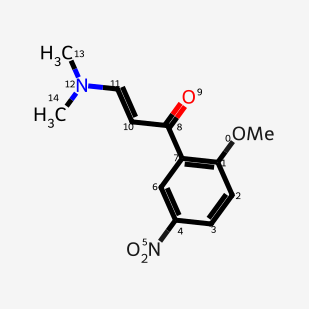 COc1ccc([N+](=O)[O-])cc1C(=O)/C=C/N(C)C